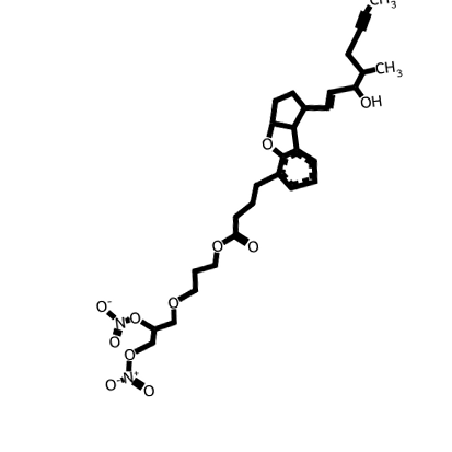 CC#CCC(C)C(O)/C=C/C1CCC2Oc3c(CCCC(=O)OCCCOCC(CO[N+](=O)[O-])O[N+](=O)[O-])cccc3C12